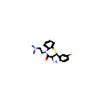 CN(C)CCN1C(=O)C(N)C(c2cccc(Cl)c2)Sc2ccccc21